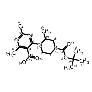 Cc1nc(Cl)nc(N2CCN(C(=O)OC(C)(C)C)CC2C)c1[N+](=O)[O-]